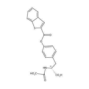 O=C(O)C(=O)N[C@H](Cc1ccc(OC(=O)c2cc3ccccc3s2)cc1)C(=O)O